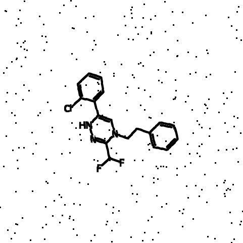 FC(F)C1=NNC(c2ccccc2Cl)=CN1CCc1ccccc1